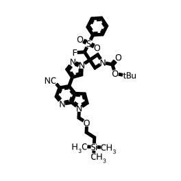 CC(C)(C)OC(=O)N1CC(C(F)S(=O)(=O)c2ccccc2)(n2cc(-c3c(C#N)cnc4c3ccn4COCC[Si](C)(C)C)cn2)C1